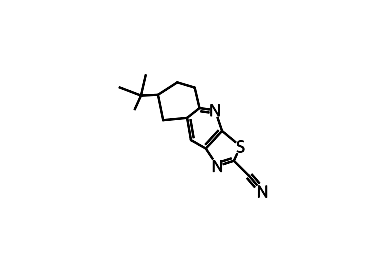 CC(C)(C)C1CCc2nc3sc(C#N)nc3cc2C1